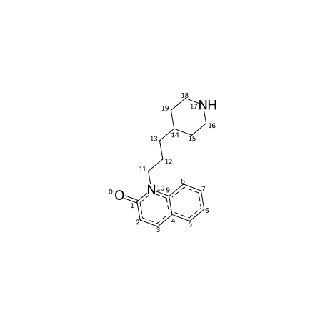 O=c1ccc2ccccc2n1CCCC1CCNCC1